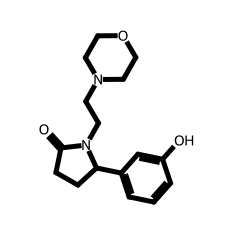 O=C1CCC(c2cccc(O)c2)N1CCN1CCOCC1